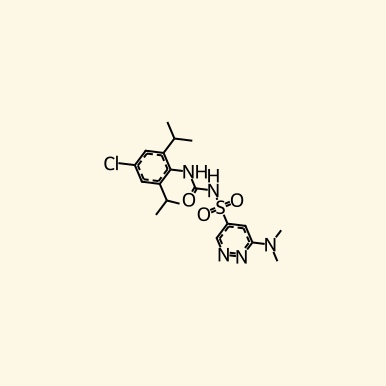 CC(C)c1cc(Cl)cc(C(C)C)c1NC(=O)NS(=O)(=O)c1cnnc(N(C)C)c1